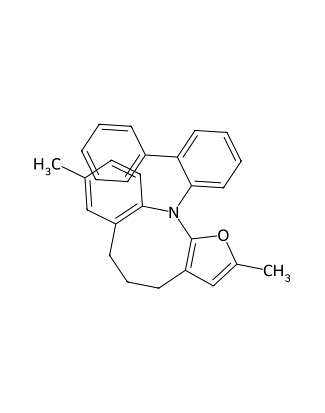 Cc1ccc2c(c1)CCCc1cc(C)oc1N2c1ccccc1-c1ccccc1